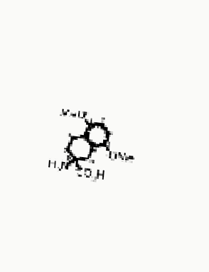 COc1ccc(OC)c2c1CCC(N)(C(=O)O)C2